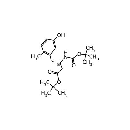 Cc1ccc(O)cc1C[C@@H](CC(=O)OC(C)(C)C)NC(=O)OC(C)(C)C